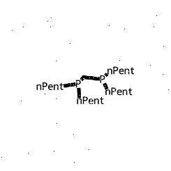 CCCCCP(CCCCC)CP(CCCCC)CCCCC